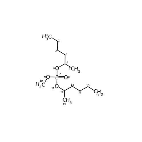 CCCCC(C)OP(=O)(OC)OC(C)CCCC